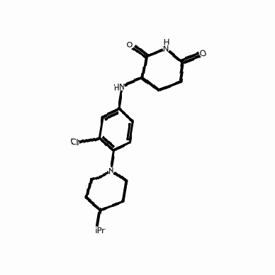 CC(C)C1CCN(c2ccc(NC3CCC(=O)NC3=O)cc2Cl)CC1